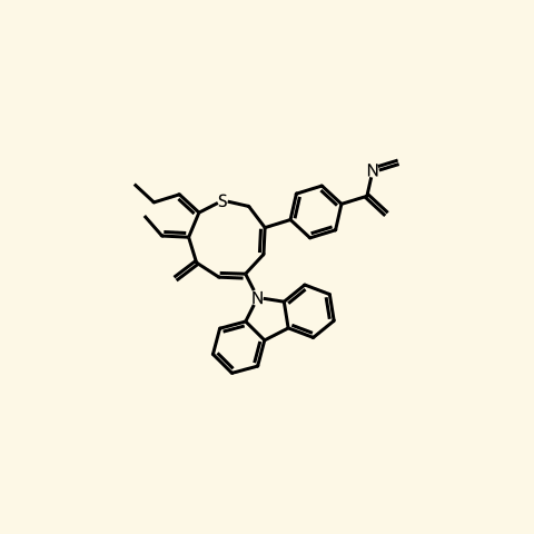 C=NC(=C)c1ccc(/C2=C/C(n3c4ccccc4c4ccccc43)=C\C(=C)C(=C/C)/C(=C\CC)SC2)cc1